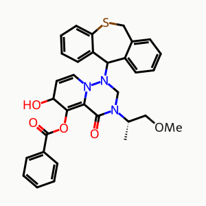 COC[C@H](C)N1CN(C2c3ccccc3CSc3ccccc32)N2C=CC(O)C(OC(=O)c3ccccc3)=C2C1=O